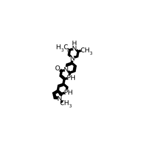 CC1CN(C2=CN3C(=O)C=C(C4=Cc5ccn(C)c5PC4)PC3C=C2)C[C@H](C)N1